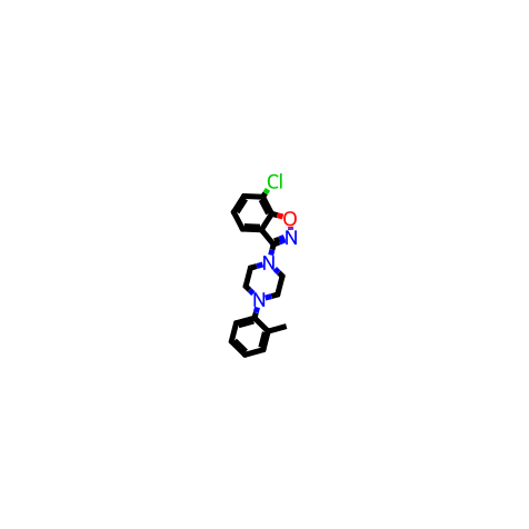 Cc1ccccc1N1CCN(c2noc3c(Cl)cccc23)CC1